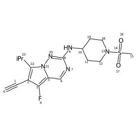 C#Cc1c(F)c2cnc(NC3CCN(S(C)(=O)=O)CC3)nn2c1C(C)C